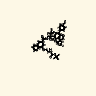 CC(C)(C)OC(=O)NCCOc1cc(C(=O)NCC(O)(c2cc3c(c(-c4ccc(F)cc4)n2)OC[C@]3(C)C(N)=O)C(F)(F)F)cc2cccnc12